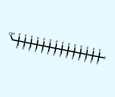 OCC(F)(F)C(F)(F)C(F)(F)C(F)(F)C(F)(F)C(F)(F)C(F)(F)C(F)(F)C(F)(F)C(F)(F)C(F)(F)C(F)(F)C(F)(F)C(F)(F)F